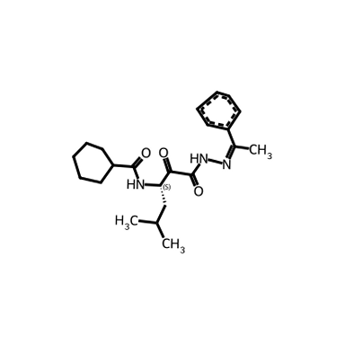 CC(=NNC(=O)C(=O)[C@H](CC(C)C)NC(=O)C1CCCCC1)c1ccccc1